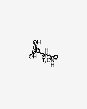 Cc1[nH]c2ccccc2c1CCNC(=O)/C=C/c1ccc(OCCO)c(OCCO)c1